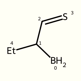 BC(C=S)CC